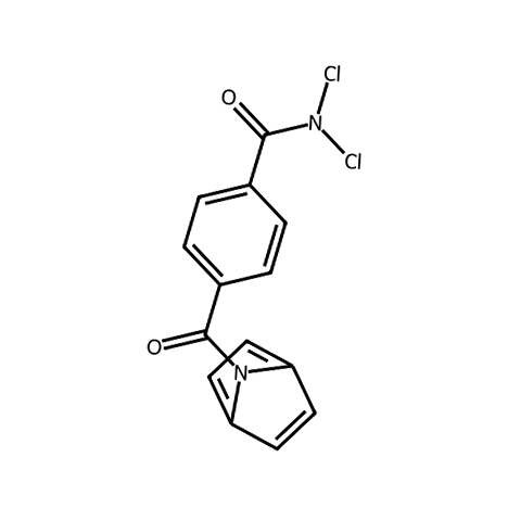 O=C(c1ccc(C(=O)n2c3ccc2cc3)cc1)N(Cl)Cl